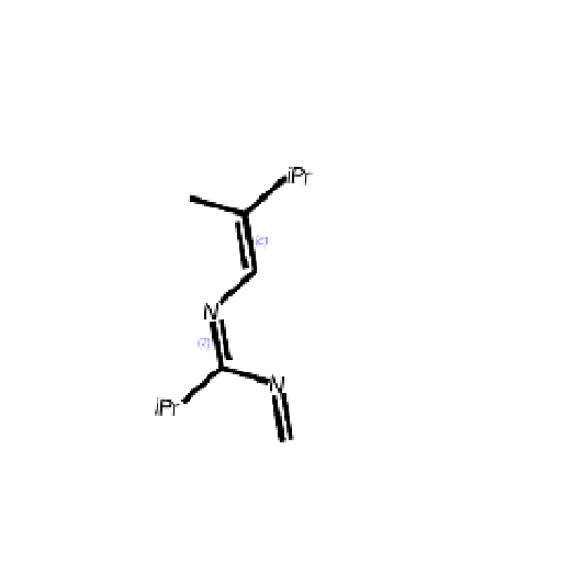 C=N/C(=N\C=C(/C)C(C)C)C(C)C